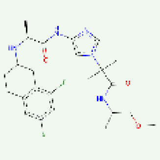 COC[C@H](C)NC(=O)C(C)(C)n1cnc(NC(=O)[C@H](C)NC2CCc3cc(F)cc(F)c3C2)c1